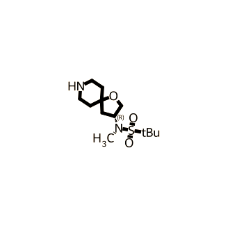 CN([C@H]1COC2(CCNCC2)C1)S(=O)(=O)C(C)(C)C